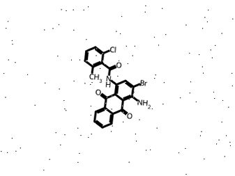 Cc1cccc(Cl)c1C(=O)Nc1cc(Br)c(N)c2c1C(=O)c1ccccc1C2=O